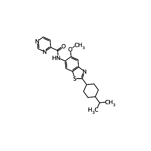 COc1cc2nc(C3CCC(C(C)C)CC3)sc2cc1NC(=O)c1ccncn1